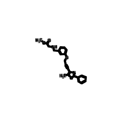 COC(=O)CNCc1cccc(OCC#Cc2nc(-c3ccccc3)oc2C)c1